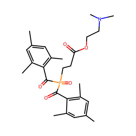 Cc1cc(C)c(C(=O)P(=O)(CCC(=O)OCCN(C)C)C(=O)c2c(C)cc(C)cc2C)c(C)c1